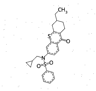 CCC1CCc2c(sc3cc(N(CC4CC4)S(=O)(=O)c4ccccc4)ccc3c2=O)C1